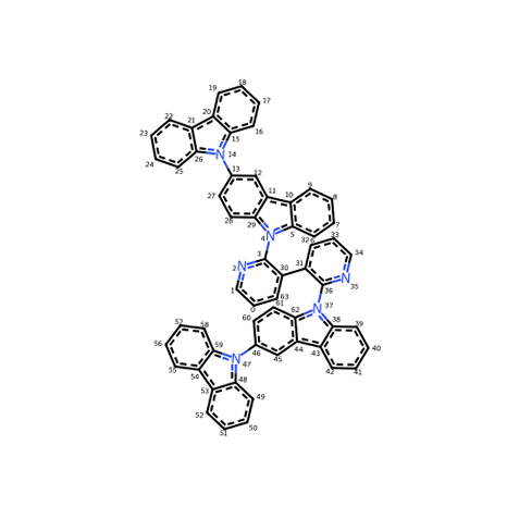 c1cnc(-n2c3ccccc3c3cc(-n4c5ccccc5c5ccccc54)ccc32)c(-c2cccnc2-n2c3ccccc3c3cc(-n4c5ccccc5c5ccccc54)ccc32)c1